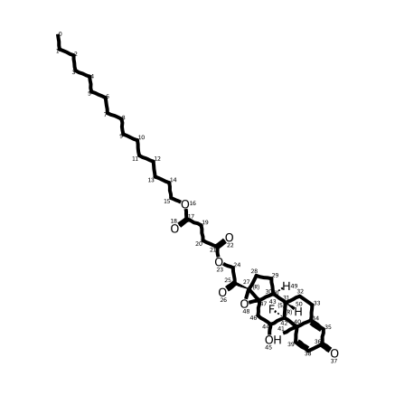 CCCCCCCCCCCCCCCCOC(=O)CCC(=O)OCC(=O)[C@@]12CC[C@H]3[C@@H]4CCC5=CC(=O)C=CC5(C)[C@@]4(F)C(O)CC31O2